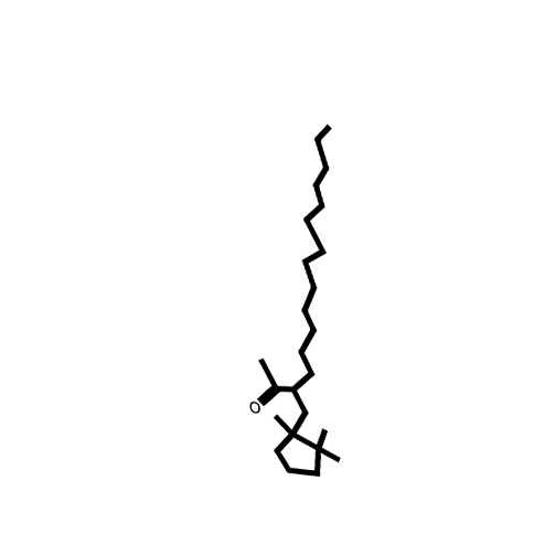 CCCCCCCCCCCCCC(CC1(C)CCCC1(C)C)C(C)=O